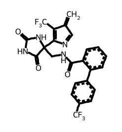 C=C1C=NC(C2(CNC(=O)c3ccccc3-c3ccc(C(F)(F)F)cc3)NC(=O)NC2=O)=C1C(F)(F)F